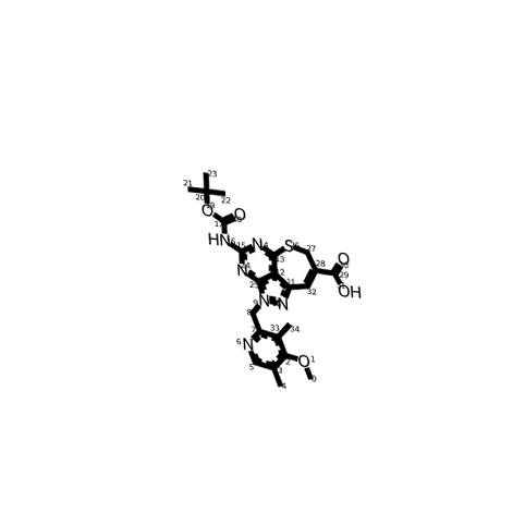 COc1c(C)cnc(Cn2nc3c4c(nc(NC(=O)OC(C)(C)C)nc42)SCC(C(=O)O)=C3)c1C